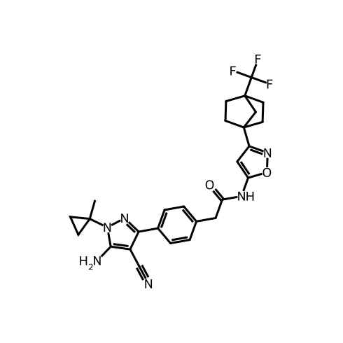 CC1(n2nc(-c3ccc(CC(=O)Nc4cc(C56CCC(C(F)(F)F)(CC5)C6)no4)cc3)c(C#N)c2N)CC1